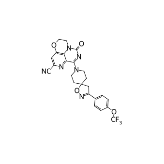 N#Cc1cc2c3c(n1)c(N1CCC4(CC1)CC(c1ccc(OC(F)(F)F)cc1)=NO4)nc(=O)n3CCO2